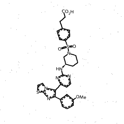 COc1cccc(-c2nc3sccn3c2-c2ccnc(N[C@@H]3CCCN(S(=O)(=O)c4ccc(CCC(=O)O)cc4)C3)n2)c1